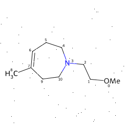 COCCN1CCC=C(C)CC1